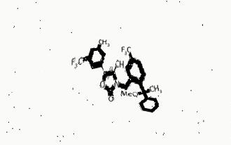 COC(C)(c1ccc(C(F)(F)F)cc1CN1C(=O)O[C@H](c2cc(C)cc(C(F)(F)F)c2)[C@@H]1C)C1CCCCC1